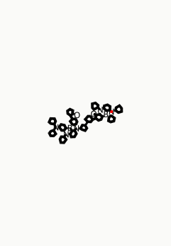 c1ccc(N(c2ccccc2)c2ccc3c(c2)N(c2ccccc2)c2cccc4c2B3c2cc3c(cc2N4c2cccc(-c4ccc5oc6c7c(ccc6c5c4)B4c5ccccc5N(c5ccccc5)c5cccc(c54)N7c4ccccc4)c2)oc2ccccc23)cc1